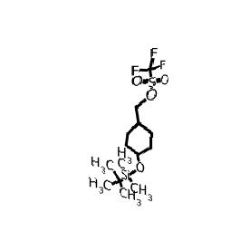 CC(C)(C)[Si](C)(C)OC1CCC(COS(=O)(=O)C(F)(F)F)CC1